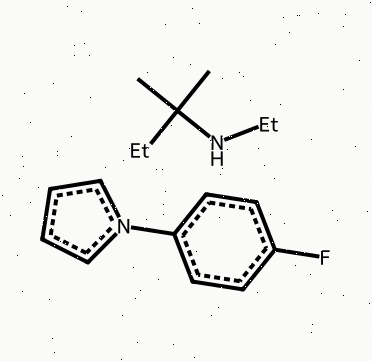 CCNC(C)(C)CC.Fc1ccc(-n2cccc2)cc1